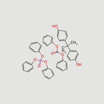 CC(C)(c1ccc(O)cc1)c1ccc(O)cc1.O=C(Oc1ccccc1)Oc1ccccc1.O=P(Oc1ccccc1)(Oc1ccccc1)Oc1ccccc1